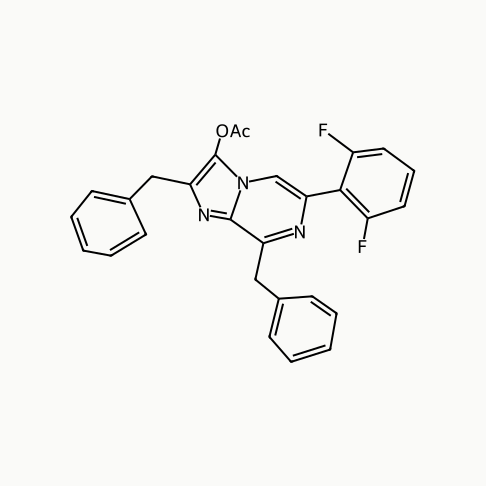 CC(=O)Oc1c(Cc2ccccc2)nc2c(Cc3ccccc3)nc(-c3c(F)cccc3F)cn12